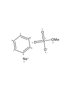 COS(=O)(=O)[O-].[Na+].c1ccccc1